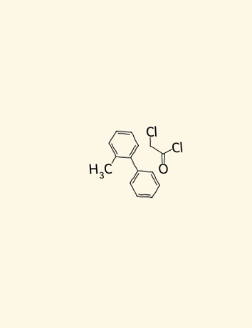 Cc1ccccc1-c1ccccc1.O=C(Cl)CCl